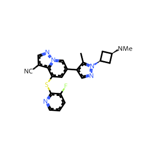 CN[C@H]1C[C@@H](n2ncc(-c3cc(Sc4ncccc4F)c4c(C#N)cnn4c3)c2C)C1